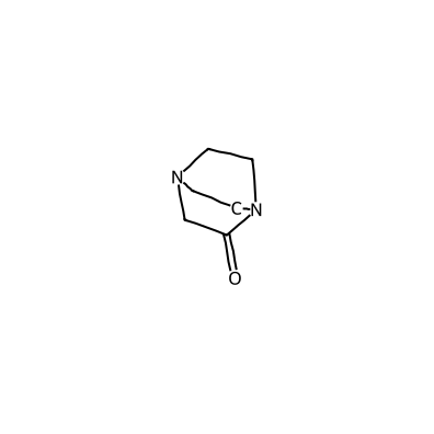 O=C1CN2CCN1CC2